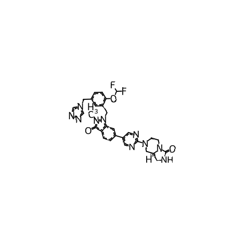 Cn1c(=O)c2ccc(-c3cnc(N4CCN5C(=O)NC[C@H]5C4)nc3)cc2n1Cc1cc(Cn2cnnc2)ccc1OC(F)F